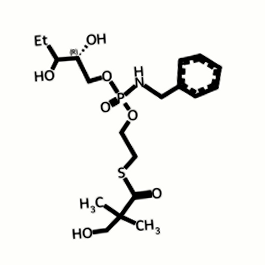 CCC(O)[C@H](O)COP(=O)(NCc1ccccc1)OCCSC(=O)C(C)(C)CO